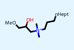 CCCCCCCCCC[N+](C)(C)CC(O)COC